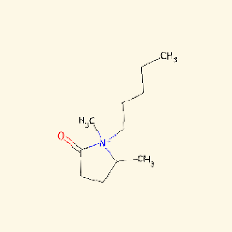 CCCCC[N+]1(C)C(=O)CCC1C